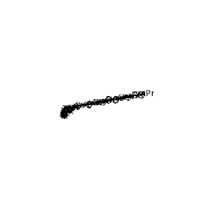 CCCOCCOCCOCCOCCOCCOCCOCCOCCOCCCCO/N=C/c1ccc2c(ccc3ccccc32)c1